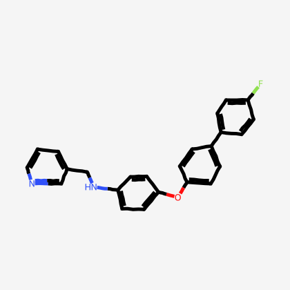 Fc1ccc(-c2ccc(Oc3ccc(NCc4cccnc4)cc3)cc2)cc1